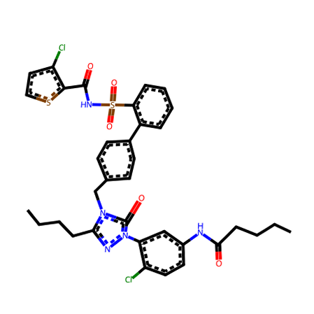 CCCCC(=O)Nc1ccc(Cl)c(-n2nc(CCCC)n(Cc3ccc(-c4ccccc4S(=O)(=O)NC(=O)c4sccc4Cl)cc3)c2=O)c1